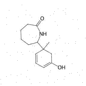 CC1(C2CCCCC(=O)N2)C=CC=C(O)C1